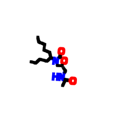 CCCCCC(CCCC)N1C[C@H](CNC(C)=O)OC1=O